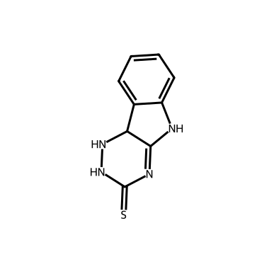 S=C1N=C2Nc3ccccc3C2NN1